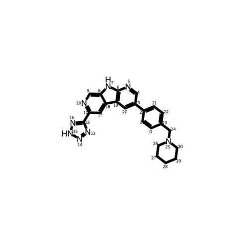 c1cc(-c2cnc3[nH]c4cnc(-c5nn[nH]n5)cc4c3c2)ccc1CN1CCCCC1